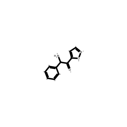 NC(C(=O)c1ccno1)c1c[c]ccc1